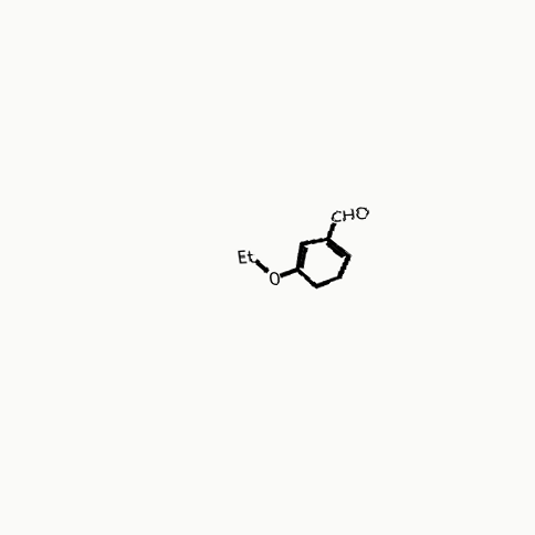 CCOC1=CC(C=O)=CCC1